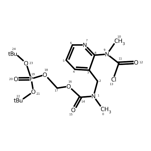 CN(Cc1cccnc1N(C)C(=O)Cl)C(=O)OCOP(=O)(OC(C)(C)C)OC(C)(C)C